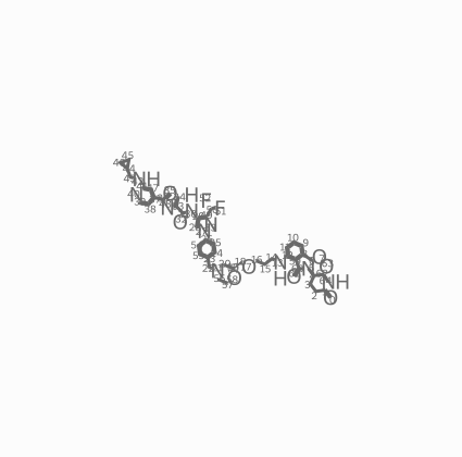 O=C1CCC(N2C(=O)c3cccc(NCCCOC[C@@H]4CN(Cc5ccc(-n6cc(NC(=O)c7coc(-c8ccnc(NCC9CC9)c8)n7)c(C(F)F)n6)cc5)CCO4)c3C2=O)C(=O)N1